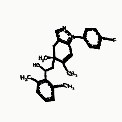 CC1=Cc2c(cnn2-c2ccc(F)cc2)C[C@@]1(C)CC(O)c1c(C)cccc1C